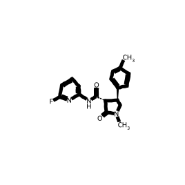 Cc1ccc([C@H]2CN(C)C(=O)[C@@H]2C(=O)Nc2cccc(F)n2)cc1